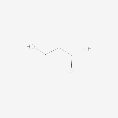 OCC[C@H](O)Cl